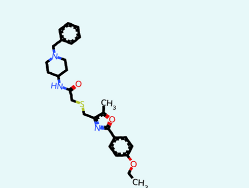 CCOc1ccc(-c2nc(CSCC(=O)NC3CCN(Cc4ccccc4)CC3)c(C)o2)cc1